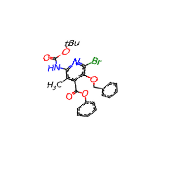 Cc1c(NC(=O)OC(C)(C)C)nc(Br)c(OCc2ccccc2)c1C(=O)Oc1ccccc1